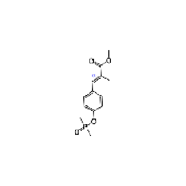 COC(=O)/C(C)=C/c1ccc(OP(C)(C)=O)cc1